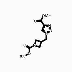 COC(=O)c1cn(CC2CN(C(=O)OC(C)(C)C)C2)nn1